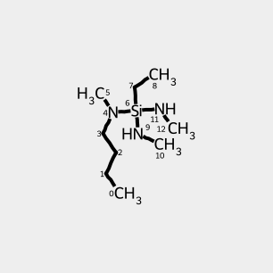 CCCCN(C)[Si](CC)(NC)NC